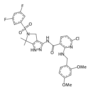 COc1ccc(CNc2nc(Cl)ccc2C(=O)Nc2n[nH]c3c2CN(S(=O)(=O)c2cc(F)cc(F)c2)C3(C)C)c(OC)c1